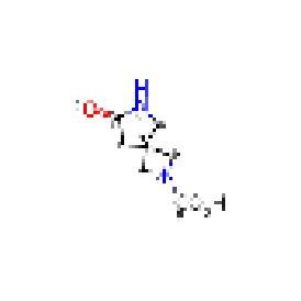 O=C1CC2(CN1)CN(C(=O)O)C2